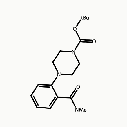 CNC(=O)c1ccccc1N1CCN(C(=O)OC(C)(C)C)CC1